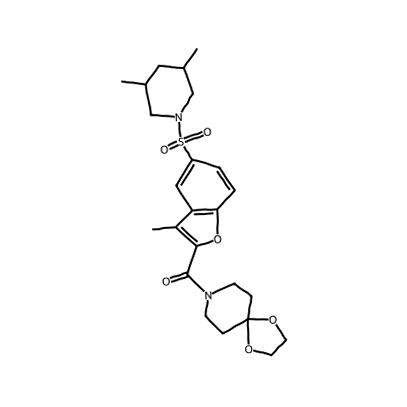 Cc1c(C(=O)N2CCC3(CC2)OCCO3)oc2ccc(S(=O)(=O)N3CC(C)CC(C)C3)cc12